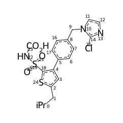 CC(C)Cc1cc(-c2ccc(Cn3ccnc3Cl)cc2)c(S(=O)(=O)NC(=O)O)s1